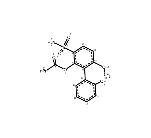 CCCC(=O)Oc1c(S(N)(=O)=O)ccc(OC(F)(F)F)c1-c1ccccc1O